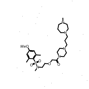 COc1cc(C)c(S(=O)(=O)N(C)CCOCC(=O)N2CCN(CCCN3CCCN(C)CC3)CC2)c(C)c1